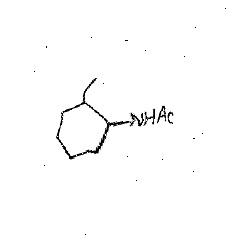 CC(=O)NC1CCCCC1C